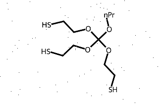 CCCOC(OCCS)(OCCS)OCCS